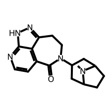 CN1C2CCC1CC(N1CCc3n[nH]c4nccc(c34)C1=O)C2